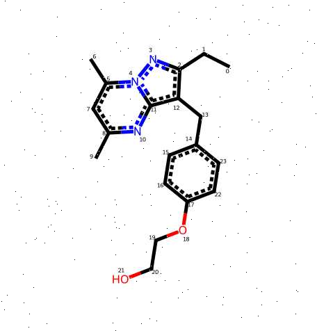 CCc1nn2c(C)cc(C)nc2c1Cc1ccc(OCCO)cc1